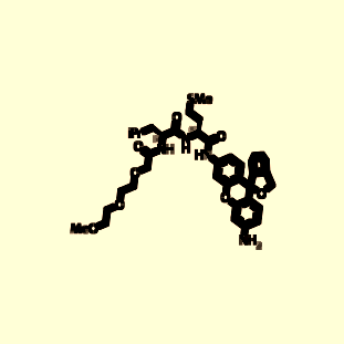 COCCOCCOCC(=O)N[C@@H](CC(C)C)C(=O)N[C@@H](CCSC)C(=O)Nc1ccc2c(c1)Oc1cc(N)ccc1C21OCc2ccccc21